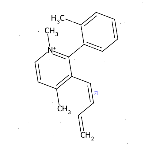 C=C/C=C\c1c(C)cc[n+](C)c1-c1ccccc1C